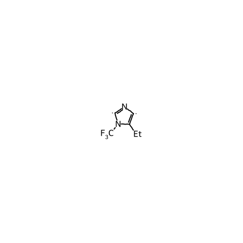 CCc1[c]n[c]n1C(F)(F)F